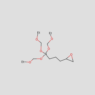 CCOCO[Si](CCCC1CO1)(OCOCC)OCOCC